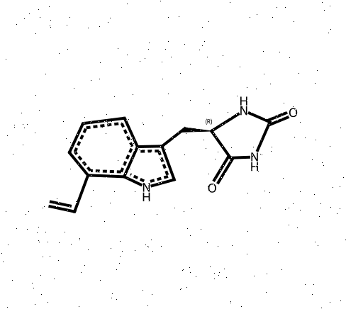 C=Cc1cccc2c(C[C@H]3NC(=O)NC3=O)c[nH]c12